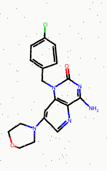 Nc1nc(=O)n(Cc2ccc(Cl)cc2)c2cc(N3CCOCC3)cnc12